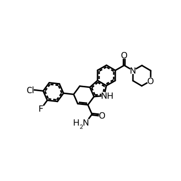 NC(=O)C1=CC(c2ccc(Cl)c(F)c2)Cc2c1[nH]c1cc(C(=O)N3CCOCC3)ccc21